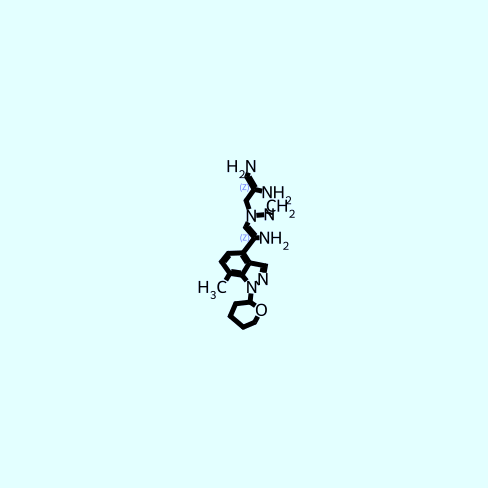 C=NN(/C=C(\N)c1ccc(C)c2c1cnn2C1CCCCO1)C/C(N)=C/N